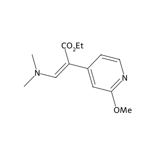 CCOC(=O)C(=CN(C)C)c1ccnc(OC)c1